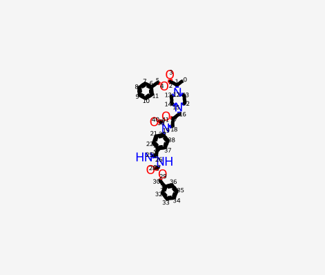 CC(C(=O)OCc1ccccc1)N1CCN(CC2CN(c3ccc(C(=N)NC(=O)OCc4ccccc4)cc3)C(=O)O2)CC1